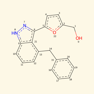 OCc1ccc(-c2n[nH]c3cccc(Cc4ccccc4)c23)o1